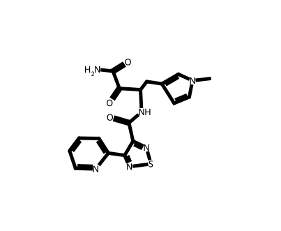 Cn1ccc(CC(NC(=O)c2nsnc2-c2ccccn2)C(=O)C(N)=O)c1